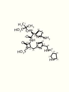 CC(C)(O/N=C(\C(=O)N[C@@H]1C(=O)N(S(=O)(=O)O)[C@@H]1Cn1ncc(CNC[C@@H]2CCNC2)n1)c1csc(N)n1)C(=O)O